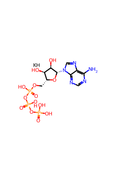 Nc1ncnc2c1ncn2[C@@H]1O[C@H](COP(=O)(O)OP(=O)(O)OP(=O)(O)O)[C@@H](O)[C@H]1O.[KH]